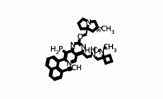 C#Cc1cccc2cccc(-c3ncc4c(CNCC5(N(C)C)CCC5)nc(OC[C@@]56CCCN5C[C@H](C)C6)nc4c3P)c12